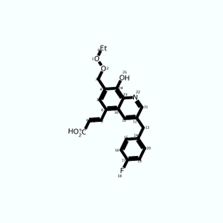 CCOOCc1cc(/C=C/C(=O)O)c2cc(Cc3ccc(F)cc3)cnc2c1O